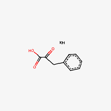 O=C(O)C(=O)Cc1ccccc1.[KH]